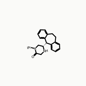 CC(C)N1C[C@H](C2c3ccccc3CCc3ccccc32)NCC1=O